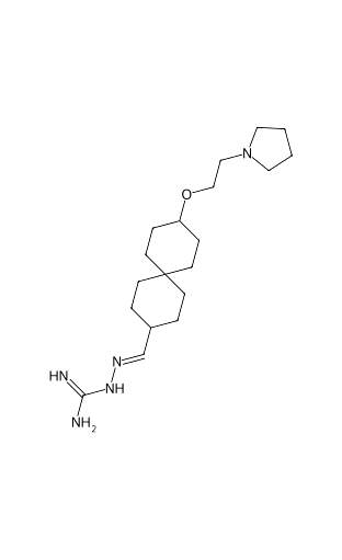 N=C(N)NN=CC1CCC2(CC1)CCC(OCCN1CCCC1)CC2